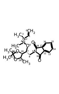 C=CN(C)N(C)O[C@H](CN1C(=O)c2ccccc2C1=O)[C@@H]1OC(C)(C)O[C@@H]1C